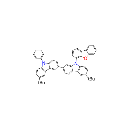 CC(C)(C)c1ccc2c(c1)c1cc(-c3ccc4c5cc(C(C)(C)C)ccc5n(-c5cccc6c5oc5ccccc56)c4c3)ccc1n2-c1ccccc1